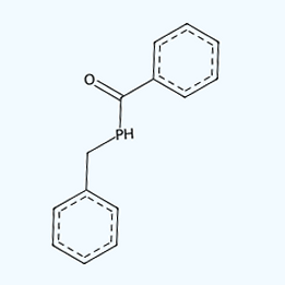 O=C(PCc1ccccc1)c1ccccc1